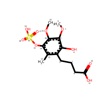 COc1c(O)c(CCCC(=O)O)c(C)c(OS(=O)(=O)O)c1OC